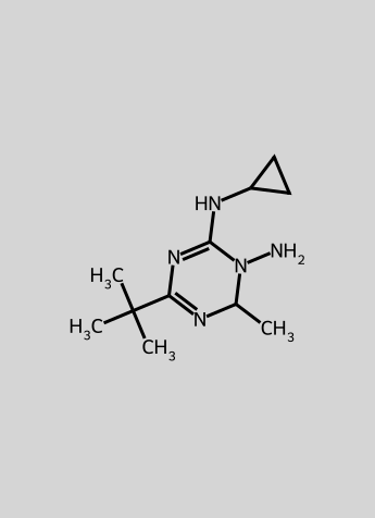 CC1N=C(C(C)(C)C)N=C(NC2CC2)N1N